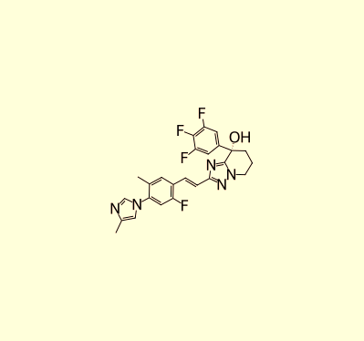 Cc1cn(-c2cc(F)c(/C=C/c3nc4n(n3)CCC[C@]4(O)c3cc(F)c(F)c(F)c3)cc2C)cn1